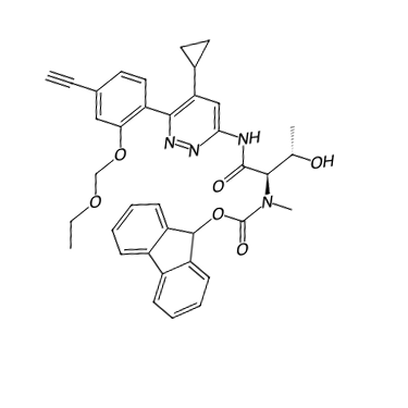 C#Cc1ccc(-c2nnc(NC(=O)[C@@H]([C@H](C)O)N(C)C(=O)OC3c4ccccc4-c4ccccc43)cc2C2CC2)c(OCOCC)c1